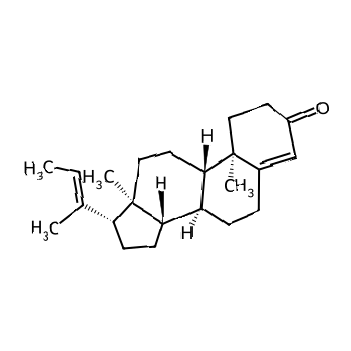 CC=C(C)[C@H]1CC[C@H]2[C@@H]3CCC4=CC(=O)CC[C@]4(C)[C@H]3CC[C@]12C